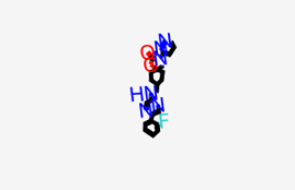 O=C1OC2(CCC(CNc3cnc(-c4ccccc4F)cn3)CC2)CN1c1cccnn1